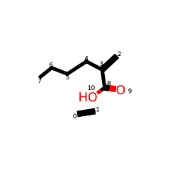 C=C.C=C(CCCC)C(=O)O